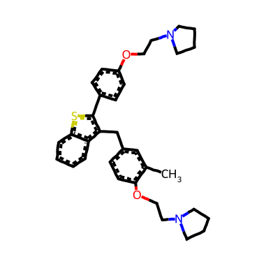 Cc1cc(Cc2c(-c3ccc(OCCN4CCCC4)cc3)sc3ccccc23)ccc1OCCN1CCCC1